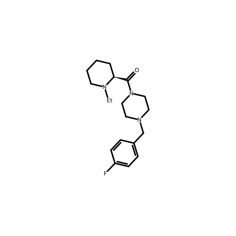 CCN1CCCC[C@H]1C(=O)N1CCN(Cc2ccc(F)cc2)CC1